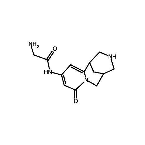 NCC(=O)Nc1cc2n(c(=O)c1)CC1CNCC2C1